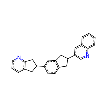 c1cnc2c(c1)CC(c1ccc3c(c1)CC(c1cnc4ccccc4c1)C3)C2